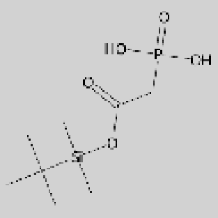 CC(C)(C)[Si](C)(C)OC(=O)CP(=O)(O)O